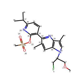 COCC(CF)n1cc(C)c2nc(-c3ccc(C(C)C)nc3OS(C)(=O)=O)c(C)cc21